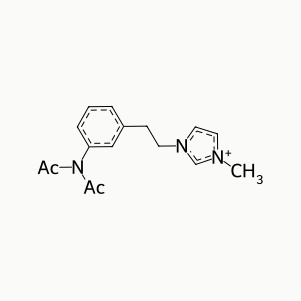 CC(=O)N(C(C)=O)c1cccc(CCn2cc[n+](C)c2)c1